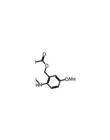 COc1ccc(NI)c(COC(=O)I)c1